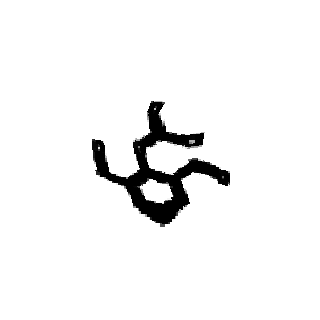 O=[C]c1cccc([C]=O)c1OC(=O)Cl